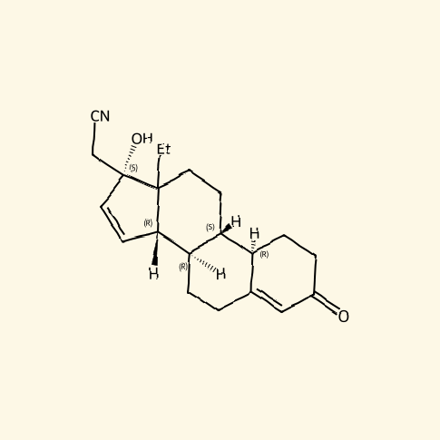 CCC12CC[C@H]3[C@@H](CCC4=CC(=O)CC[C@@H]43)[C@@H]1C=C[C@@]2(O)CC#N